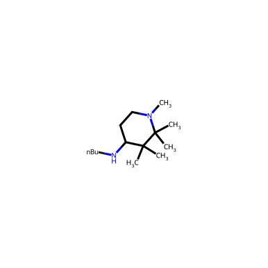 CCCCNC1CCN(C)C(C)(C)C1(C)C